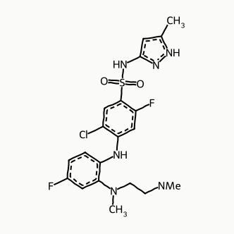 CNCCN(C)c1cc(F)ccc1Nc1cc(F)c(S(=O)(=O)Nc2cc(C)[nH]n2)cc1Cl